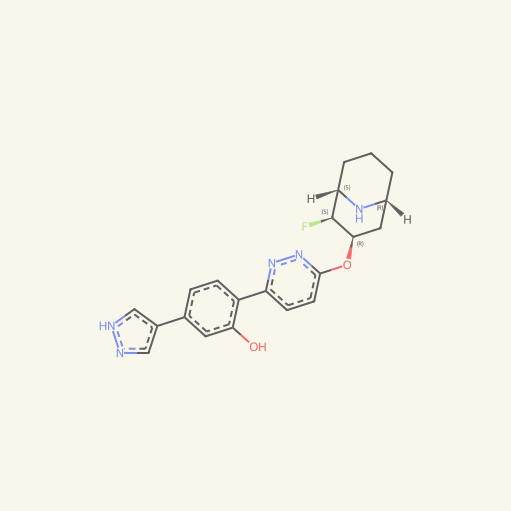 Oc1cc(-c2cn[nH]c2)ccc1-c1ccc(O[C@@H]2C[C@H]3CCC[C@H](N3)[C@@H]2F)nn1